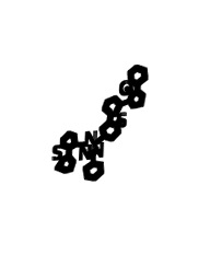 c1ccc(-c2nc(-c3ccc4sc5c(-c6cccc7c6oc6ccccc67)cccc5c4c3)nc(-c3cccc4sc5ccccc5c34)n2)cc1